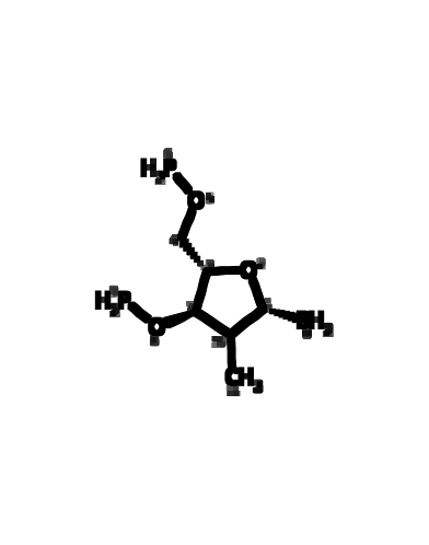 B[C@H]1O[C@@H](COP)[C@H](OP)C1C